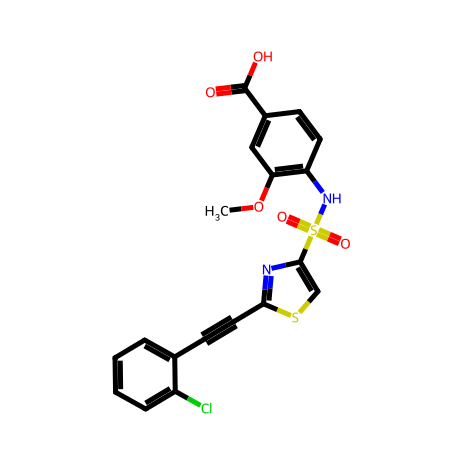 COc1cc(C(=O)O)ccc1NS(=O)(=O)c1csc(C#Cc2ccccc2Cl)n1